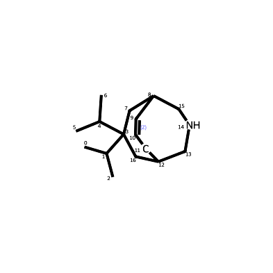 CC(C)C1(C(C)C)CC2/C=C\CC(CNC2)C1